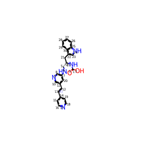 O=C(O)N[C@H](CNc1cncc(/C=C/c2ccncc2)c1)Cc1c[nH]c2ccccc12